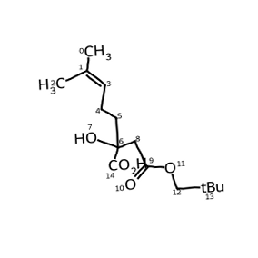 CC(C)=CCCC(O)(CC(=O)OCC(C)(C)C)C(=O)O